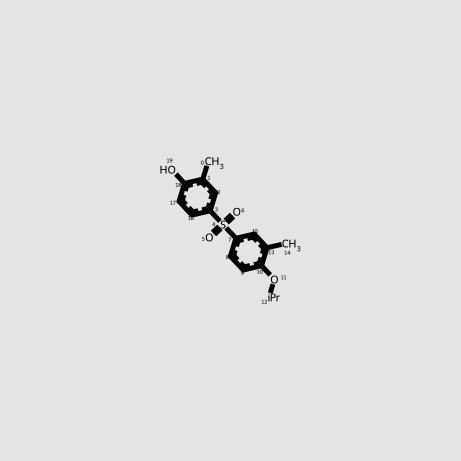 Cc1cc(S(=O)(=O)c2ccc(OC(C)C)c(C)c2)ccc1O